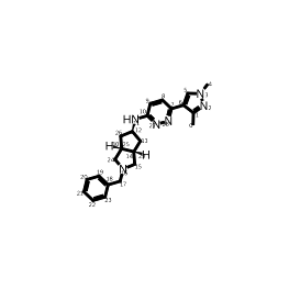 Cc1nn(C)cc1-c1ccc(N[C@H]2C[C@@H]3CN(Cc4ccccc4)C[C@@H]3C2)nn1